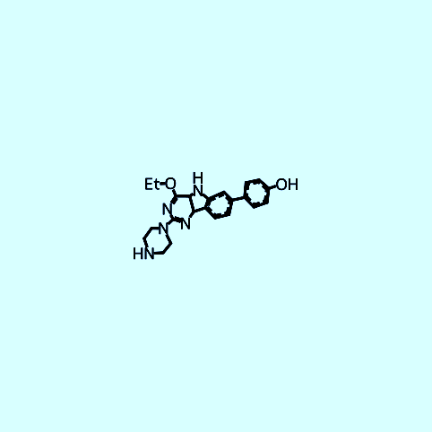 CCOC1=NC(N2CCNCC2)=NC2c3ccc(-c4ccc(O)cc4)cc3NC12